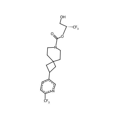 O=C(O[C@H](CO)C(F)(F)F)N1CCC2(CC1)CC(c1ccc(C(F)(F)F)nc1)C2